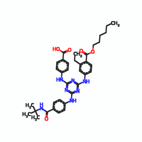 CCCCCCOC(=O)c1ccc(Nc2nc(Nc3ccc(C(=O)O)cc3)nc(Nc3ccc(C(=O)NC(C)(C)C)cc3)n2)cc1CC